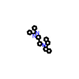 c1ccc(-c2nc3ccc(-c4cccc(-n5c6ccc7ccccc7c6c6ccc7ccccc7c65)c4)cc3nc2-c2ccccc2)cc1